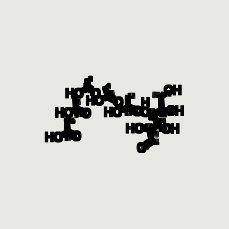 CC(=O)O.CC(=O)O.CC(=O)O.CC(=O)O.CC(=O)O.O=C[C@H](O)[C@@H](O)[C@@H](O)[C@H](O)CO